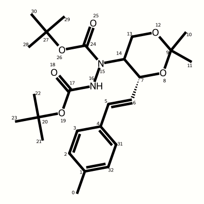 Cc1ccc(C=C[C@H]2OC(C)(C)OCC2N(NC(=O)OC(C)(C)C)C(=O)OC(C)(C)C)cc1